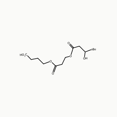 CCCCC(O)CC(=O)OCCC(=O)OCCCC(=O)O